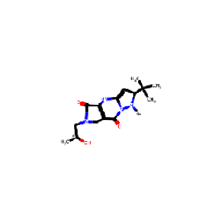 [2H]N1C(C(C)(C)C)C=C2NC3=C(CN(C[C@H](C)O)C3=O)C(=O)N21